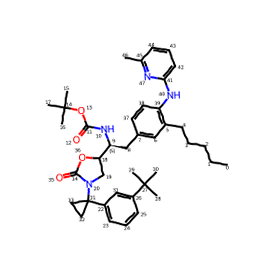 CCCCCc1cc(C[C@H](NC(=O)OC(C)(C)C)C2CN(C3(c4cccc(C(C)(C)C)c4)CC3)C(=O)O2)ccc1Nc1cccc(C)n1